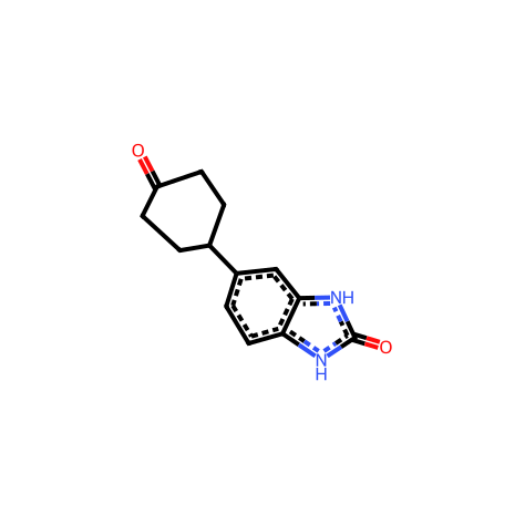 O=C1CCC(c2ccc3[nH]c(=O)[nH]c3c2)CC1